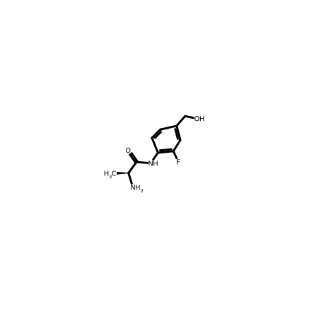 C[C@H](N)C(=O)Nc1ccc(CO)cc1F